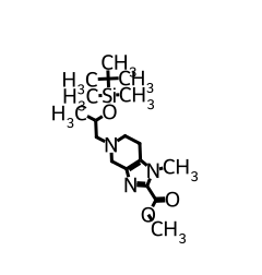 COC(=O)c1nc2c(n1C)CCN(CC(C)O[Si](C)(C)C(C)(C)C)C2